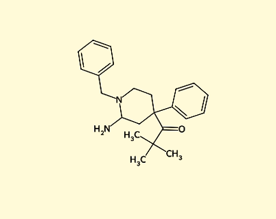 CC(C)(C)C(=O)C1(c2ccccc2)CCN(Cc2ccccc2)C(N)C1